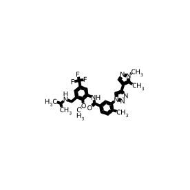 COc1c(CNC(C)C)cc(C(F)(F)F)cc1NC(=O)c1ccc(C)c(-n2cc(-c3cnn(C)c3C)nn2)c1